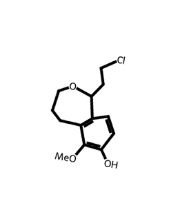 COc1c(O)ccc2c1CCCOC2CCCl